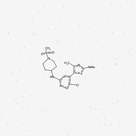 CNc1nc(C)c(-c2cc(NC3CCN(S(C)(=O)=O)CC3)ncc2Cl)s1